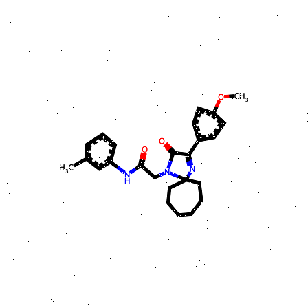 COc1ccc(C2=NC3(CCCCCC3)N(CC(=O)Nc3cccc(C)c3)C2=O)cc1